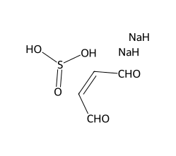 O=C/C=C\C=O.O=S(O)O.[NaH].[NaH]